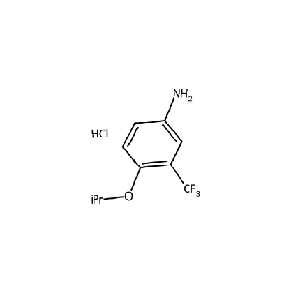 CC(C)Oc1ccc(N)cc1C(F)(F)F.Cl